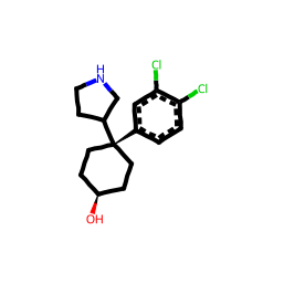 O[C@H]1CC[C@](c2ccc(Cl)c(Cl)c2)(C2CCNC2)CC1